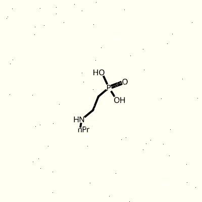 CCCNCCP(=O)(O)O